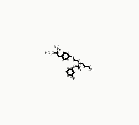 CCOC(Cc1ccc(OCCN(CCCC(C)C)C(=O)Oc2cccc(F)c2)cc1)C(=O)O